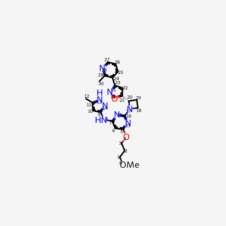 COCCCOc1cc(Nc2cc(C)[nH]n2)nc(N2CC[C@H]2c2cc(-c3cccnc3C)no2)n1